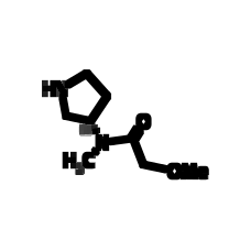 COCC(=O)N(C)[C@H]1CCNC1